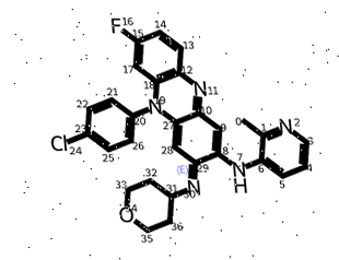 Cc1ncccc1Nc1cc2nc3ccc(F)cc3n(-c3ccc(Cl)cc3)c-2c/c1=N\C1CCOCC1